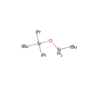 CC(C)[Si](O[SiH2]C(C)(C)C)(C(C)C)C(C)(C)C